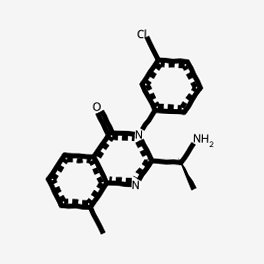 Cc1cccc2c(=O)n(-c3cccc(Cl)c3)c([C@H](C)N)nc12